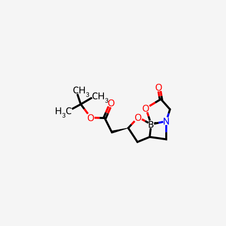 CC(C)(C)OC(=O)C[C@@H]1CC2CN3CC(=O)O[B-]23O1